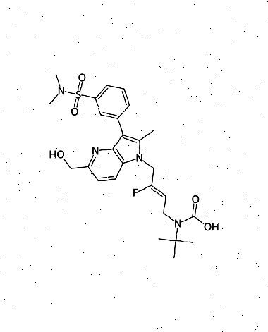 Cc1c(-c2cccc(S(=O)(=O)N(C)C)c2)c2nc(CO)ccc2n1CC(F)=CCN(C(=O)O)C(C)(C)C